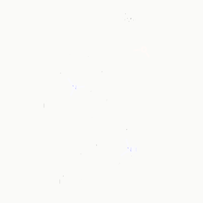 CCOc1cc2c(cc1OC)CCN(SCC)C2CCc1c[nH]c2ccc(CC)cc12